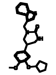 COc1ccc(C2CNC(=O)N(Cc3csc4ccccc34)C2)cc1OC1CCCC1